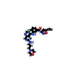 CC(C)(C)c1cc(NC(=O)c2ccc(Cl)c(Nc3ncnc4cnc(NCCCN5CCOCC5)nc34)c2)no1